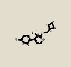 Fc1ccc(-c2ccnc(OCC3CCC3)c2Cl)cc1